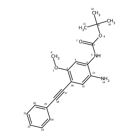 COc1cc(NC(=O)OC(C)(C)C)c(N)cc1C#Cc1ccccc1